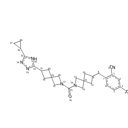 N#Cc1cc(C(F)(F)F)ccc1CC1CC2(C1)CN(C(=O)N1CC3(CC(c4nnc(C5CC5)[nH]4)C3)C1)C2